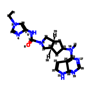 CCn1cnc(NC(=O)N2C[C@H]3CC(N(C)c4ncnc5[nH]ccc45)C[C@H]3C2)c1